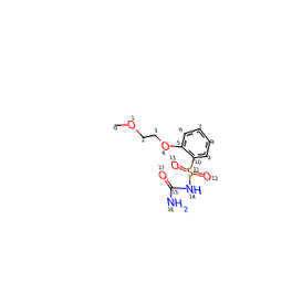 COCCOc1ccccc1S(=O)(=O)NC(N)=O